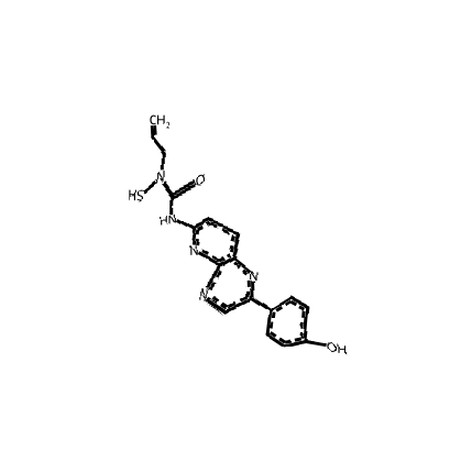 C=CCN(S)C(=O)Nc1ccc2nc(-c3ccc(O)cc3)cnc2n1